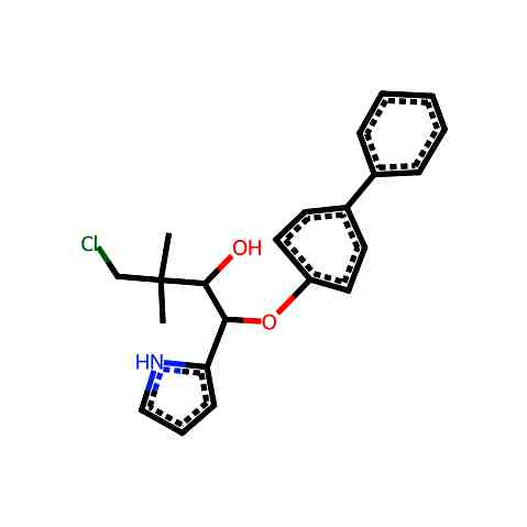 CC(C)(CCl)C(O)C(Oc1ccc(-c2ccccc2)cc1)c1ccc[nH]1